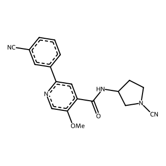 COc1cnc(-c2cccc(C#N)c2)cc1C(=O)NC1CCN(C#N)C1